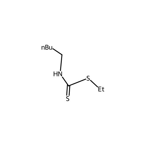 CCCCCNC(=S)SCC